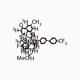 [2H]c1c(C)c([2H])c2c(=O)c([2H])c(SC([2H])([2H])c3cccc(F)c3F)n(CC(=O)N(C([2H])([2H])c3ccc(-c4ccc(C(F)(F)F)cc4)cc3)C3([2H])C([2H])([2H])C([2H])([2H])N(CC([2H])([2H])OC)C([2H])([2H])C3([2H])[2H])c2c1[2H]